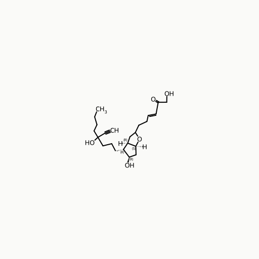 C#CC(O)(CCCC)CCC[C@@H]1[C@H]2CC(CCC=CC(=O)CO)O[C@H]2C[C@H]1O